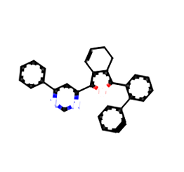 c1cccc(-c2ccccc2-c2oc(-c3cc(-c4ccccc4)ncn3)c3c2CCC=C3)c#1